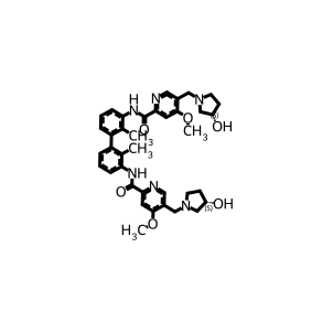 COc1cc(C(=O)Nc2cccc(-c3cccc(NC(=O)c4cc(OC)c(CN5CC[C@H](O)C5)cn4)c3C)c2C)ncc1CN1CC[C@H](O)C1